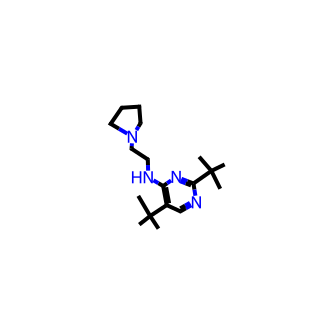 CC(C)(C)c1ncc(C(C)(C)C)c(NCCN2CCCC2)n1